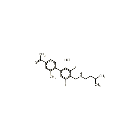 Cc1cc(C(N)=O)ccc1-c1cc(F)c(CNCCC(C)C)c(F)c1.Cl